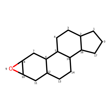 C1CC2CCC3C4CC5OC5CC4CCC3C2C1